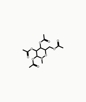 CC(=O)OCC1ON(C)C(OC(C)=O)C(OC(C)=O)C1OC(C)=O